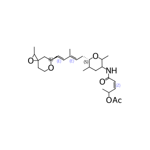 CC(=O)OC(C)/C=C\C(=O)NC1CC(C)[C@H](C/C=C(C)/C=C/[C@@H]2CC3(CCO2)OC3C)OC1C